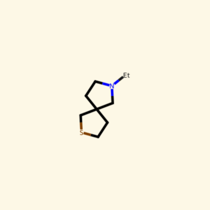 CCN1CCC2(CCSC2)C1